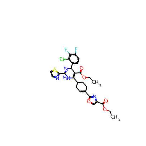 CCOC(=O)C1=C(C2CC=C(c3nc(C(=O)OCC)co3)CC2)NC(c2nccs2)=NC1c1ccc(F)c(F)c1Cl